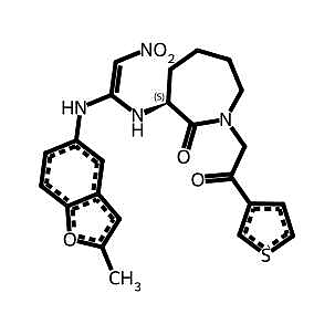 Cc1cc2cc(NC(=C[N+](=O)[O-])N[C@H]3CCCCN(CC(=O)c4ccsc4)C3=O)ccc2o1